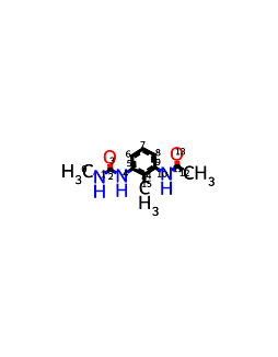 CNC(=O)Nc1cccc(NC(C)=O)c1C